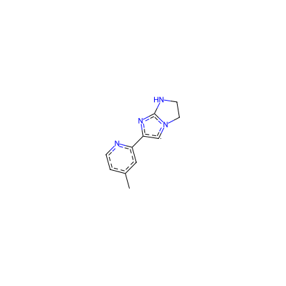 Cc1ccnc(-c2[c]n3c(n2)NCC3)c1